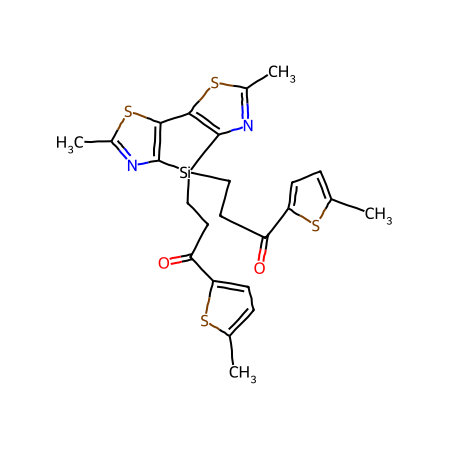 Cc1ccc(C(=O)CC[Si]2(CCC(=O)c3ccc(C)s3)c3nc(C)sc3-c3sc(C)nc32)s1